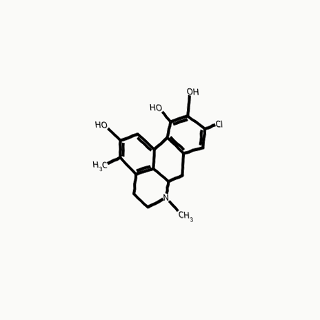 Cc1c(O)cc2c3c1CCN(C)C3Cc1cc(Cl)c(O)c(O)c1-2